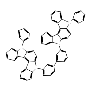 c1ccc(-n2c3ccccc3c3c4c5ccccc5n(-c5cccc(-c6cccc(-n7c8ccccc8c8c9c%10ccccc%10n(-c%10ccccc%10)c9ccc87)c6)c5)c4ccc32)cc1